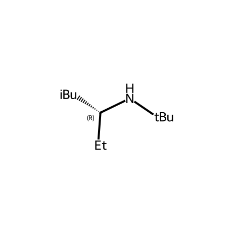 CCC(C)[C@@H](CC)NC(C)(C)C